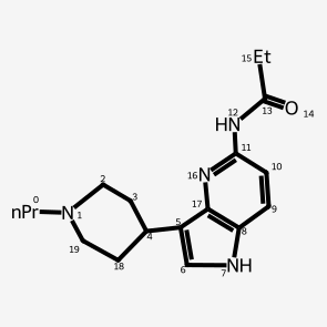 CCCN1CCC(c2c[nH]c3ccc(NC(=O)CC)nc23)CC1